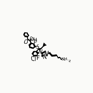 NCCCCCCn1cc(-n2c(C3CC3)c(Sc3cccc(C(O)C(=O)c4ccccc4)c3F)c3ccc(Cl)c(F)c32)cn1